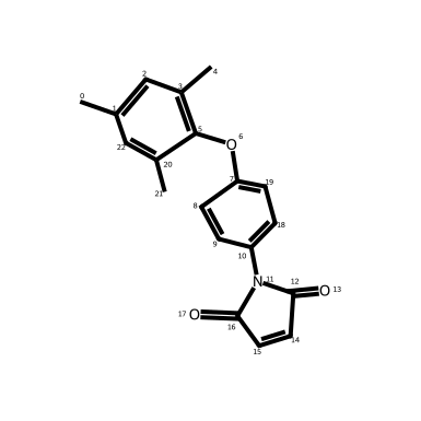 Cc1cc(C)c(Oc2ccc(N3C(=O)C=CC3=O)cc2)c(C)c1